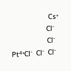 [Cl-].[Cl-].[Cl-].[Cl-].[Cl-].[Cs+].[Pt+4]